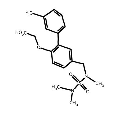 CN(C)S(=O)(=O)N(C)Cc1ccc(OCC(=O)O)c(-c2cccc(C(F)(F)F)c2)c1